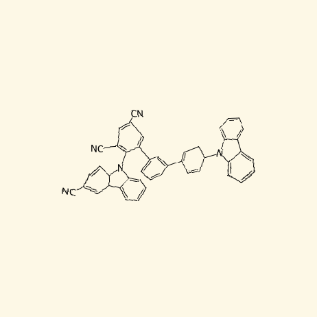 N#CC1=CC2c3ccccc3N(c3c(C#N)cc(C#N)cc3-c3cccc(C4=CCC(n5c6ccccc6c6ccccc65)C=C4)c3)C2C=C1